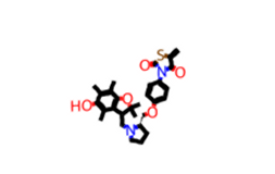 C=C1SC(=O)N(c2ccc(OC[C@@H]3CCCN3CC3c4c(C)c(O)c(C)c(C)c4OC3(C)C)cc2)C1=O